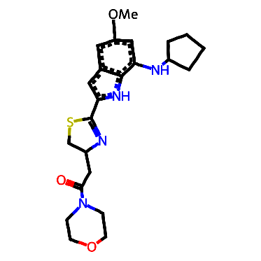 COc1cc(NC2CCCC2)c2[nH]c(C3=NC(CC(=O)N4CCOCC4)CS3)cc2c1